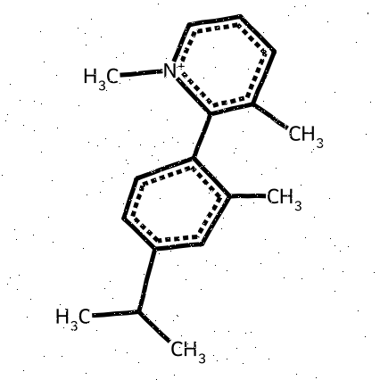 Cc1cc(C(C)C)ccc1-c1c(C)ccc[n+]1C